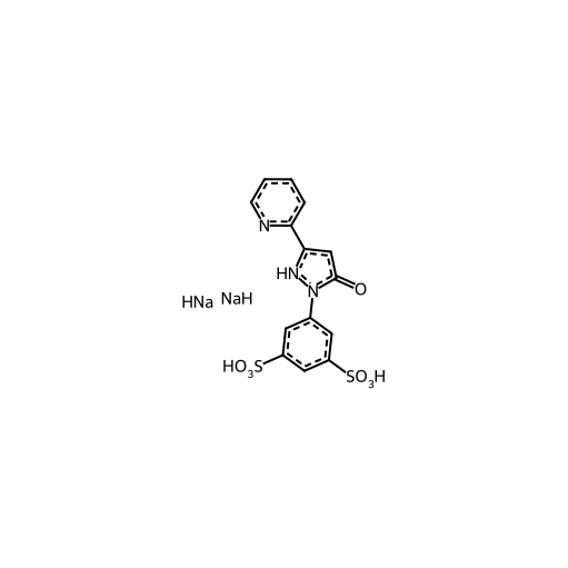 O=c1cc(-c2ccccn2)[nH]n1-c1cc(S(=O)(=O)O)cc(S(=O)(=O)O)c1.[NaH].[NaH]